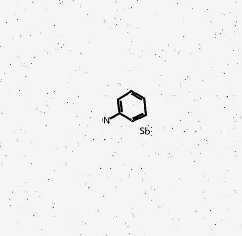 [N]c1ccccc1.[Sb]